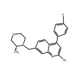 CC(=O)c1cc(-c2ccc(F)cc2)c2ccc(CN3CCOC[C@@H]3C)cc2n1